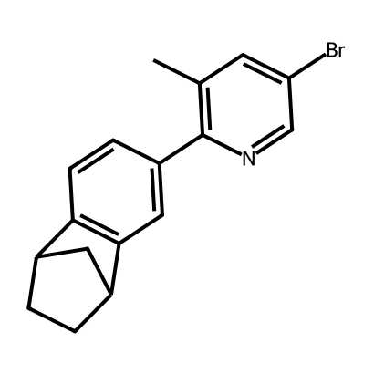 Cc1cc(Br)cnc1-c1ccc2c(c1)C1CCC2C1